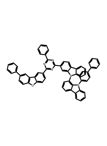 c1ccc(-c2ccc(-n3c4ccccc4c4cccc(-n5c6ccccc6c6ccc(-c7nc(-c8ccccc8)nc(-c8ccc9oc%10ccc(-c%11ccccc%11)cc%10c9c8)n7)cc65)c43)cc2)cc1